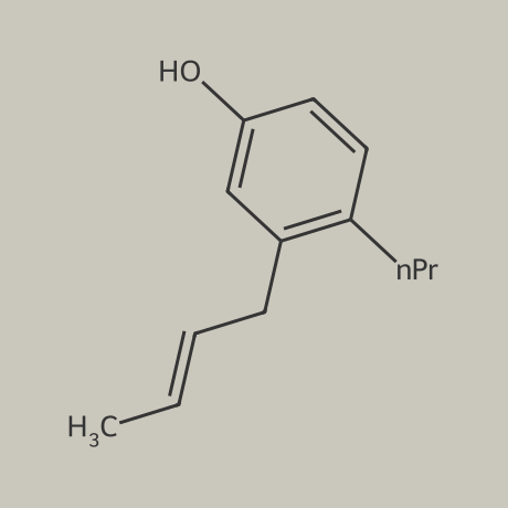 CC=CCc1cc(O)ccc1CCC